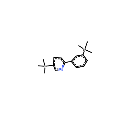 C[Si](C)(C)c1ccc(-c2cccc([Si](C)(C)C)c2)nc1